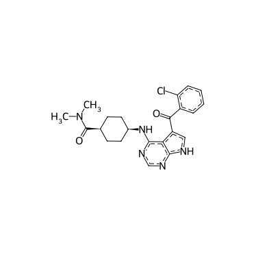 CN(C)C(=O)[C@H]1CC[C@@H](Nc2ncnc3[nH]cc(C(=O)c4ccccc4Cl)c23)CC1